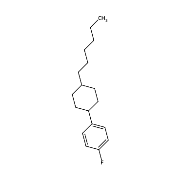 CCCCCCC1CCC(c2ccc(F)cc2)CC1